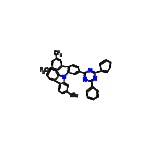 CC(C)(C)c1ccc2c3ccccc3n(-c3cc(-c4nc(-c5ccccc5)nc(-c5ccccc5)n4)ccc3-c3cc(C(F)(F)F)cc(C(F)(F)F)c3)c2c1